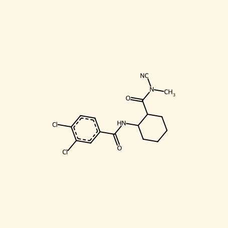 CN(C#N)C(=O)C1CCCCC1NC(=O)c1ccc(Cl)c(Cl)c1